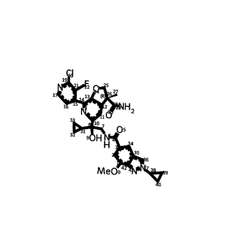 COc1cc(C(=O)NCC(O)(c2cc3c(c(-c4ccnc(Cl)c4F)n2)OC[C@]3(C)C(N)=O)C2CC2)cc2cn(C3CC3)nc12